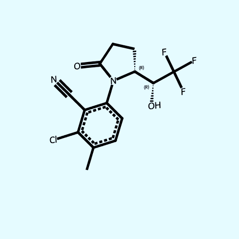 Cc1ccc(N2C(=O)CC[C@@H]2[C@@H](O)C(F)(F)F)c(C#N)c1Cl